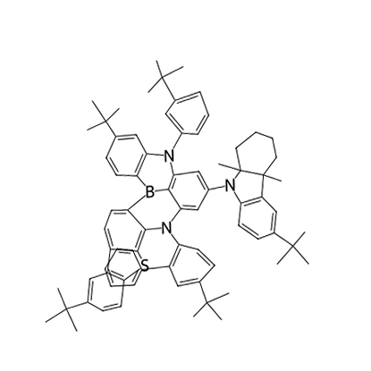 CC(C)(C)c1cccc(N2c3cc(C(C)(C)C)ccc3B3c4ccc5c(sc6ccc(C(C)(C)C)cc65)c4N(c4ccc(C(C)(C)C)cc4-c4ccccc4)c4cc(N5c6ccc(C(C)(C)C)cc6C6(C)CCCCC56C)cc2c43)c1